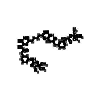 CC(C)(C)OC(=O)Nc1cccc(CC(=O)NC(=N)SC(=N)CCCCC(=N)SC(=N)NC(=O)Cc2cccc(NC(=O)OC(C)(C)C)c2)c1